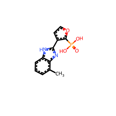 Cc1cccc2[nH]c(-c3ccoc3P(=O)(O)O)nc12